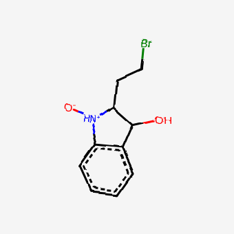 [O-][NH+]1c2ccccc2C(O)C1CCBr